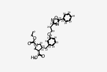 CCOC(=O)N1CC(C(=O)O)[C@H](Cc2cccc(OCCc3noc(-c4ccccc4)n3)c2)C1